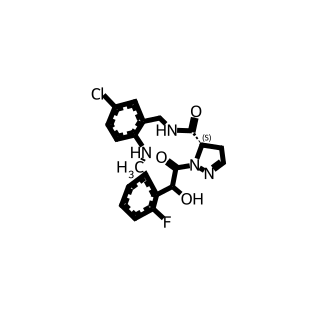 CNc1ccc(Cl)cc1CNC(=O)[C@@H]1CC=NN1C(=O)C(O)c1ccccc1F